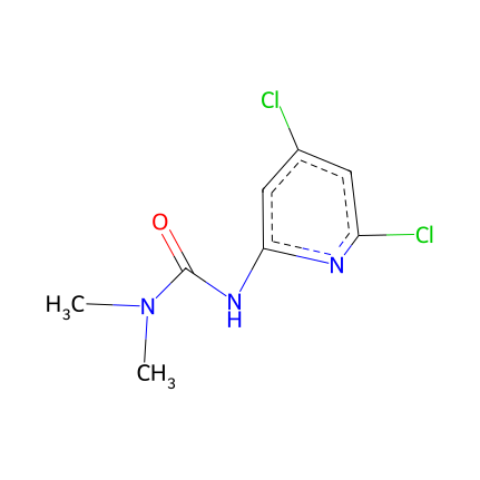 CN(C)C(=O)Nc1cc(Cl)cc(Cl)n1